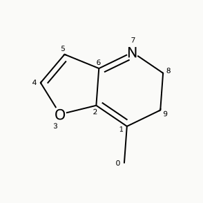 CC1=c2occc2=NCC1